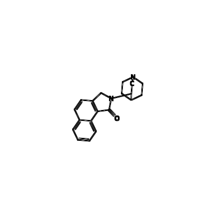 O=C1c2c(ccc3ccccc23)CN1C1CN2CCC1CC2